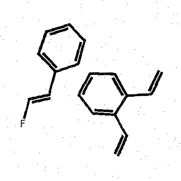 C=Cc1ccccc1C=C.FC=Cc1ccccc1